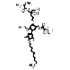 C=C(C)C(=O)OCc1cc(-c2cc(F)c(OCCCCCCCCCC)c(F)c2)c(OC)cc1OCCCC(O)(CO)COC(=O)C(=C)C